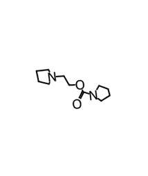 O=C(OCCN1CCCC1)N1CCCC1